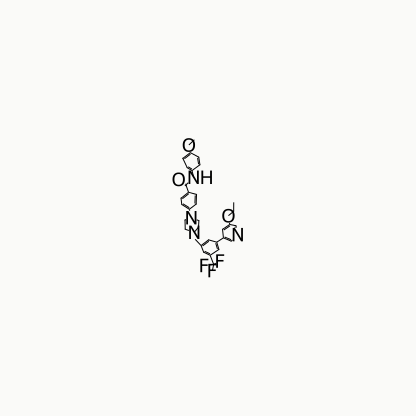 CCOc1cncc(-c2cc(CN3CCN(c4ccc(C(=O)Nc5ccc(OC)cc5)cc4)CC3)cc(C(F)(F)F)c2)c1